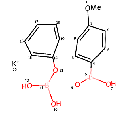 COc1ccc(B([O-])O)cc1.OB(O)Oc1ccccc1.[K+]